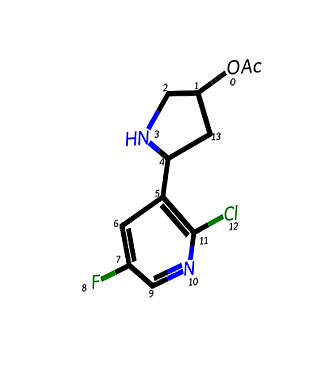 CC(=O)OC1CNC(c2cc(F)cnc2Cl)C1